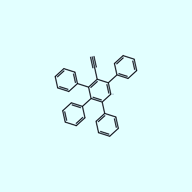 C#Cc1c(-c2ccccc2)[c]c(-c2ccccc2)c(-c2ccccc2)c1-c1ccccc1